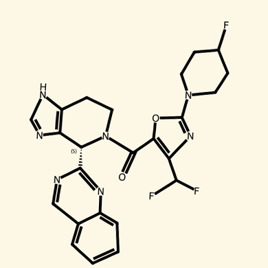 O=C(c1oc(N2CCC(F)CC2)nc1C(F)F)N1CCc2[nH]cnc2[C@H]1c1ncc2ccccc2n1